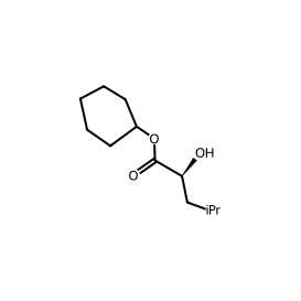 CC(C)C[C@H](O)C(=O)OC1CCCCC1